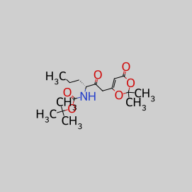 CCC[C@@H](NC(=O)OC(C)(C)C)C(=O)CC1=CC(=O)OC(C)(C)O1